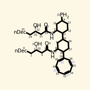 CCCCCCCCCCC[C@H](O)CC(=O)NC1CC(C2CCC(P)CC2NC(=O)C[C@@H](O)CCCCCCCCCCC)CCC1C1=C/C=C\C=C/C=C\1